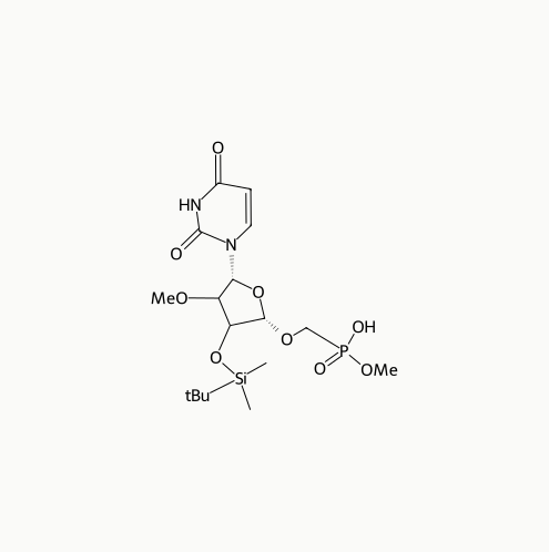 COC1C(O[Si](C)(C)C(C)(C)C)[C@@H](OCP(=O)(O)OC)O[C@H]1n1ccc(=O)[nH]c1=O